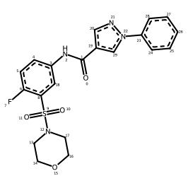 O=C(Nc1ccc(F)c(S(=O)(=O)N2CCOCC2)c1)c1cnn(-c2ccccc2)c1